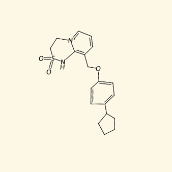 O=S1(=O)CC[n+]2cccc(COc3ccc(C4CCCC4)cc3)c2N1